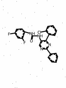 O=C(Nc1ccc(F)cc1F)Nc1cnc(-c2ccccc2)nc1-c1ccccc1Cl